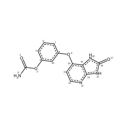 NC(=O)Oc1cccc(Oc2ccnc3[nH]c(=O)[nH]c23)c1